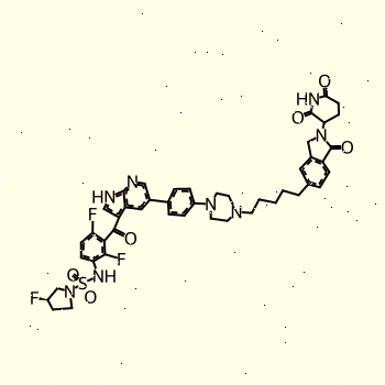 O=C1CCC(N2Cc3cc(CCCCCN4CCN(c5ccc(-c6cnc7[nH]cc(C(=O)c8c(F)ccc(NS(=O)(=O)N9CC[C@@H](F)C9)c8F)c7c6)cc5)CC4)ccc3C2=O)C(=O)N1